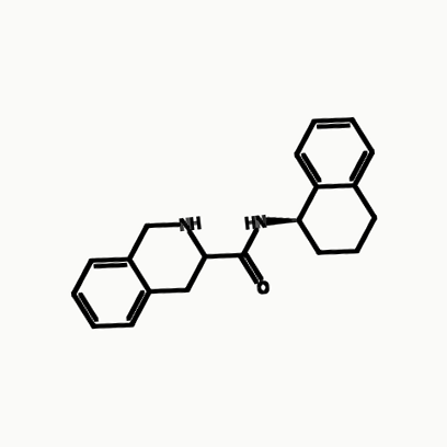 O=C(N[C@@H]1CCCc2ccccc21)C1Cc2ccccc2CN1